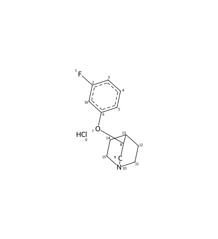 Cl.Fc1cccc(OC2CN3CCC2CC3)c1